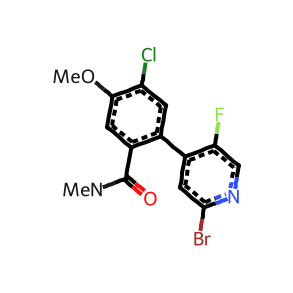 CNC(=O)c1cc(OC)c(Cl)cc1-c1cc(Br)ncc1F